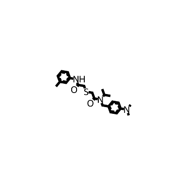 Cc1cccc(NC(=O)CSCC(=O)N(Cc2ccc(N(C)C)cc2)C(C)C)c1